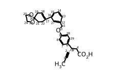 CC#C[C@@H](CC(=O)O)c1ccc(OCc2cccc(C3=CCC4(CC3)OCCO4)c2)cc1